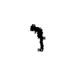 CCN(C)S(=O)(=O)Nc1ccc(F)c(-c2cc3cnc(NCCOCCOCCO)nc3n(C)c2=O)c1F